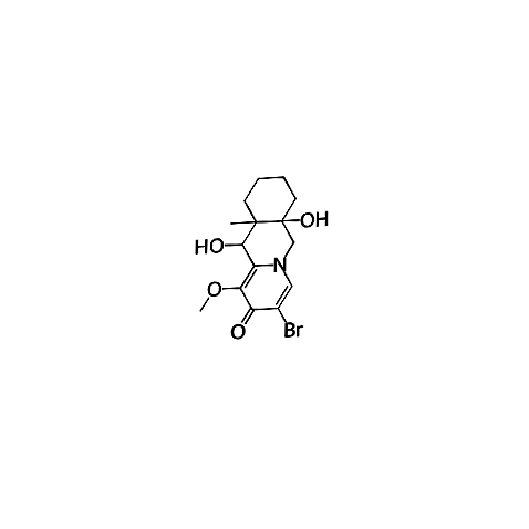 COc1c2n(cc(Br)c1=O)CC1(O)CCCCC1(C)C2O